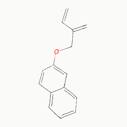 C=CC(=C)COc1ccc2ccccc2c1